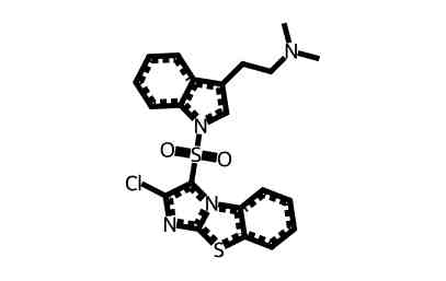 CN(C)CCc1cn(S(=O)(=O)c2c(Cl)nc3sc4ccccc4n23)c2ccccc12